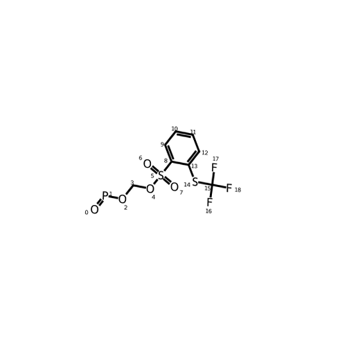 O=POCOS(=O)(=O)c1ccccc1SC(F)(F)F